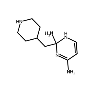 NC1=NC(N)(CC2CCNCC2)NC=C1